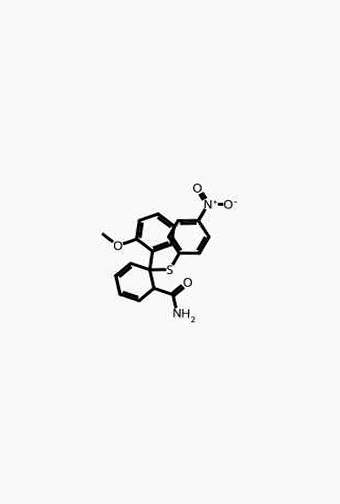 COc1ccccc1C1(Sc2ccc([N+](=O)[O-])cc2)C=CC=CC1C(N)=O